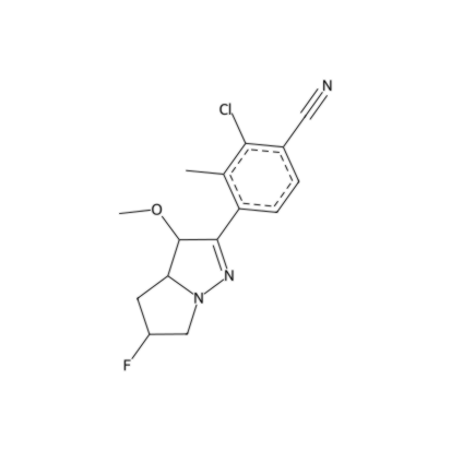 COC1C(c2ccc(C#N)c(Cl)c2C)=NN2CC(F)CC12